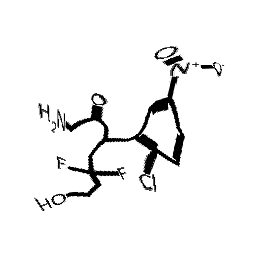 NC(=O)[C](c1cc([N+](=O)[O-])ccc1Cl)C(F)(F)CO